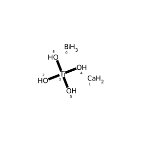 [BiH3].[CaH2].[OH][Ti]([OH])([OH])[OH]